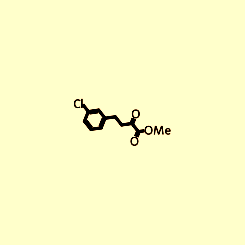 COC(=O)C(=O)CCc1cccc(Cl)c1